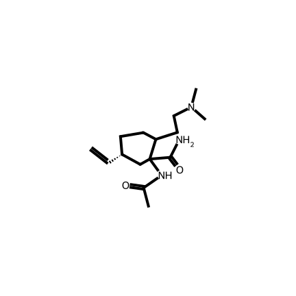 C=C[C@@H]1CCC(CCN(C)C)C(NC(C)=O)(C(N)=O)C1